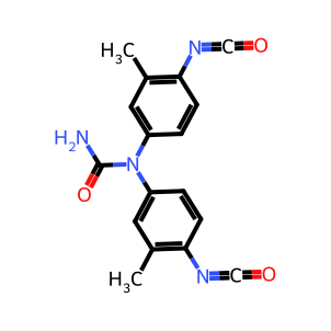 Cc1cc(N(C(N)=O)c2ccc(N=C=O)c(C)c2)ccc1N=C=O